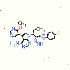 CCC(/C(=C/Nc1ccc(F)cc1)N=N)n1cc(-c2cncnc2OC)c2c(N)ncnc21